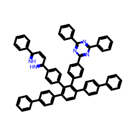 N=C(/C=C\C(=N)c1ccc(-c2c(-c3ccc(-c4ccccc4)cc3)ccc(-c3ccc(-c4ccccc4)cc3)c2-c2ccc(-c3nc(-c4ccccc4)nc(-c4ccccc4)n3)cc2)cc1)c1ccccc1